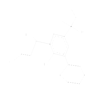 CCCCCCCCCCCCC(C)c1cc(C(C)(C)CC(C)(C)C)cc(C2CCCCC2)c1O